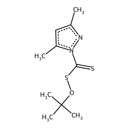 Cc1cc(C)n(C(=S)SOC(C)(C)C)n1